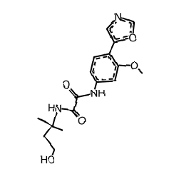 COc1cc(NC(=O)C(=O)NC(C)(C)CCO)ccc1-c1cnco1